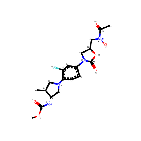 COC(=O)N[C@H]1CN(c2ccc(N3CC(C[N@H+]([O-])C(C)=O)OC3=O)cc2F)C[C@@H]1C